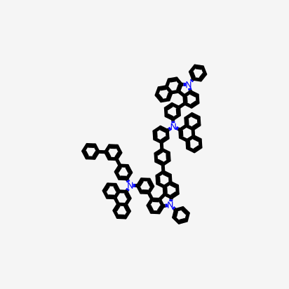 c1ccc(-c2cccc(-c3ccc(N(c4cccc(-c5cccc6c5c5c7ccc(-c8ccc(-c9cccc(N(c%10cccc(-c%11cccc%12c%11c%11c%13ccccc%13ccc%11n%12-c%11ccccc%11)c%10)c%10cc%11ccccc%11c%11ccccc%10%11)c9)cc8)cc7ccc5n6-c5ccccc5)c4)c4cc5ccccc5c5ccccc45)cc3)c2)cc1